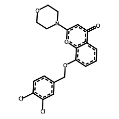 O=c1cc(N2CCOCC2)oc2c(OCc3ccc(Cl)c(Cl)c3)cccc12